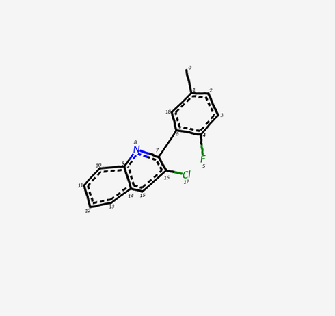 Cc1ccc(F)c(-c2nc3ccccc3cc2Cl)c1